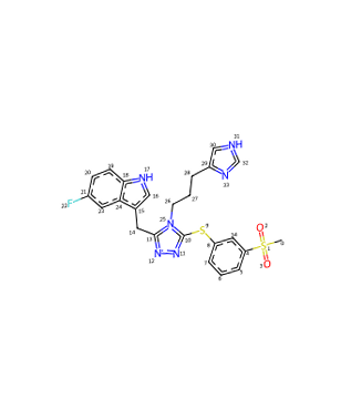 CS(=O)(=O)c1cccc(Sc2nnc(Cc3c[nH]c4ccc(F)cc34)n2CCCc2c[nH]cn2)c1